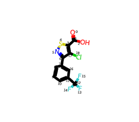 O=C(O)c1snc(-c2cccc(C(F)(F)F)c2)c1Cl